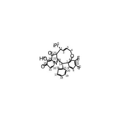 CC(C)[C@H]1/C=C/COc2c(ccc(F)c2F)[C@@H](c2ccccc2)N2CC1C(=O)c1c(O)c(=O)ccn12